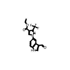 CCOC(=O)c1cn(-c2ccc3[nH]cc(C=O)c3c2)nc1C(F)(F)F